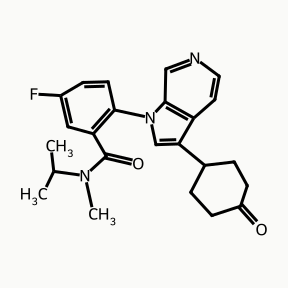 CC(C)N(C)C(=O)c1cc(F)ccc1-n1cc(C2CCC(=O)CC2)c2ccncc21